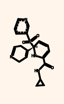 O=C(NC1CC1)C1=CC=C[C@](C2=CCN=CC2)(S(=O)(=O)c2cccnc2)N1